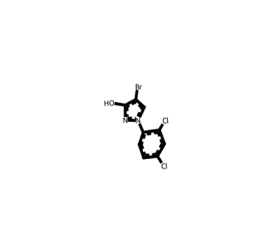 Oc1nn(-c2ccc(Cl)cc2Cl)cc1Br